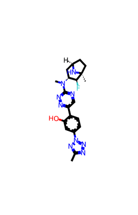 Cc1nnn(-c2ccc(-c3cnc(N(C)[C@@H]4C[C@H]5CC[C@](C)(N5)[C@H]4F)nn3)c(O)c2)n1